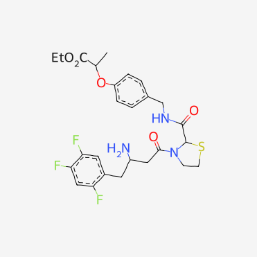 CCOC(=O)C(C)Oc1ccc(CNC(=O)C2SCCN2C(=O)CC(N)Cc2cc(F)c(F)cc2F)cc1